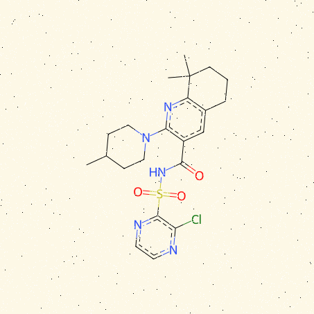 CC1CCN(c2nc3c(cc2C(=O)NS(=O)(=O)c2nccnc2Cl)CCCC3(C)C)CC1